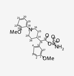 COc1cccc(C(C(=O)OS(N)(=O)=O)C2CCN(c3ccccc3OC)CC2)c1